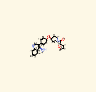 CNc1c(C2=CCC(OC3CCN(C(=O)[C@H]4CCCO4)CC3)C=C2)cnc2ccccc12